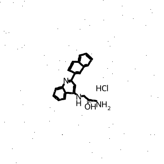 Cl.NC[C@H](O)CNc1cc(-c2ccc3ccccc3c2)nc2ccccc12